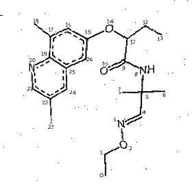 CCON=CC(C)(C)NC(=O)C(CC)Oc1cc(C)c2ncc(I)cc2c1